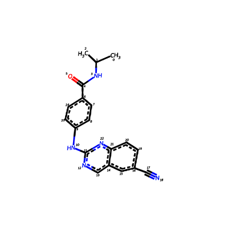 CC(C)NC(=O)c1ccc(Nc2ncc3cc(C#N)ccc3n2)cc1